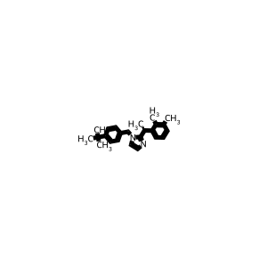 Cc1cccc([C@H](C)c2nccn2Cc2ccc(C(C)(C)C)cc2)c1C